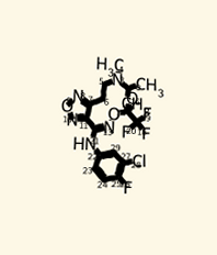 CC(C)N(C)CCc1nonc1C(=NOC(=O)C(F)(F)F)Nc1ccc(F)c(Cl)c1